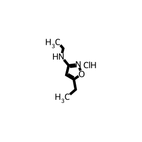 CCNc1cc(CC)on1.Cl